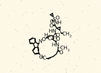 C=C[C@@H]1C[C@]1(NC(=O)[C@@H]1C[C@@H]2C[C@H]1C(=O)N[C@H](C)C(=O)CC/C=C/COc1ccc3c(c1)/C(=N\O2)c1ccccc1-3)C(=O)NS(=O)(=O)C1CC1